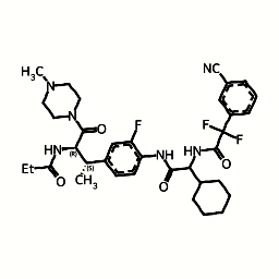 CCC(=O)N[C@@H](C(=O)N1CCN(C)CC1)[C@@H](C)c1ccc(NC(=O)C(NC(=O)C(F)(F)c2cccc(C#N)c2)C2CCCCC2)c(F)c1